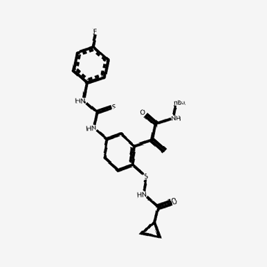 C=C(C(=O)NCCCC)C1=C(SNC(=O)C2CC2)CCC(NC(=S)Nc2ccc(F)cc2)C1